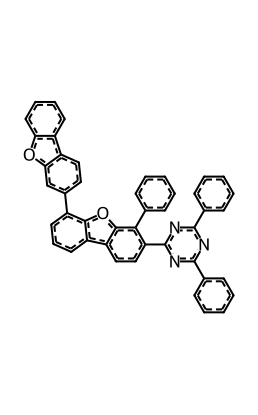 c1ccc(-c2nc(-c3ccccc3)nc(-c3ccc4c(oc5c(-c6ccc7c(c6)oc6ccccc67)cccc54)c3-c3ccccc3)n2)cc1